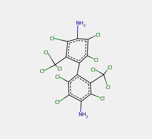 Nc1c(Cl)c(Cl)c(-c2c(Cl)c(Cl)c(N)c(Cl)c2C(Cl)(Cl)Cl)c(C(Cl)(Cl)Cl)c1Cl